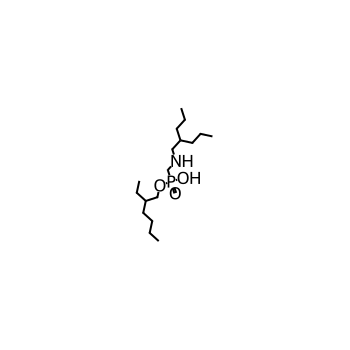 CCCCC(CC)COP(=O)(O)CNCC(CCC)CCC